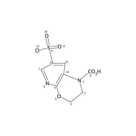 O=C(O)N1CCOc2ncc(S(=O)(=O)Cl)cc21